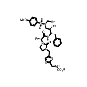 COc1ccc(S(=O)(=O)N(CC(C)C)C[C@@H](O)[C@H](Cc2ccccc2)NC(=O)[C@H](C(C)C)N2CCN(Cc3csc(CNC(=O)O)n3)C2=O)cc1